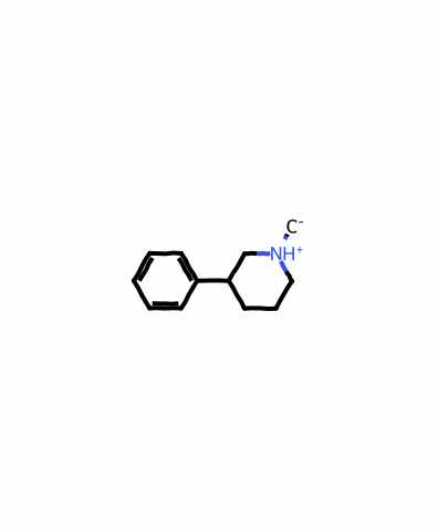 [CH2-][NH+]1CCCC(c2ccccc2)C1